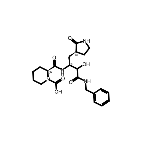 O=C(NCc1ccccc1)C(O)[C@H](C[C@@H]1CCNC1=O)NC(=O)[C@@H]1CCCCN1C(=O)O